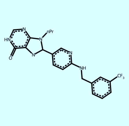 CCCN1c2nc[nH]c(=O)c2[N]C1c1ccc(NCc2cccc(C(F)(F)F)c2)nc1